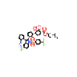 CCOC(=O)c1ccc(-c2cccc(-c3c(-c4ccccc4C#N)c4cc(F)ccc4n3S(=O)(=O)c3ccc(C(F)F)cc3)c2)c2c1OCO2